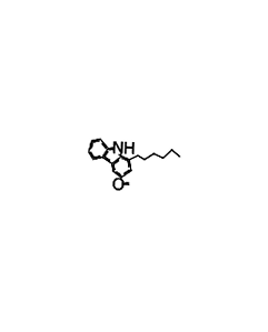 C=O.CCCCCCc1cccc2c1[nH]c1ccccc12